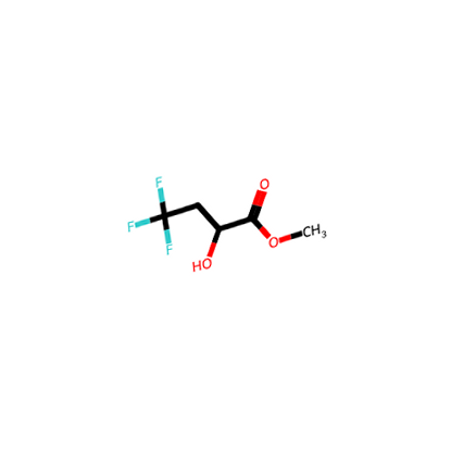 COC(=O)C(O)CC(F)(F)F